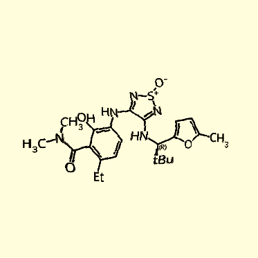 CCc1ccc(Nc2n[s+]([O-])nc2N[C@@H](c2ccc(C)o2)C(C)(C)C)c(O)c1C(=O)N(C)C